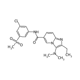 CCc1nc2ccc(C(=O)Nc3cc(Cl)cc(S(C)(=O)=O)c3)cn2c1N(C)C